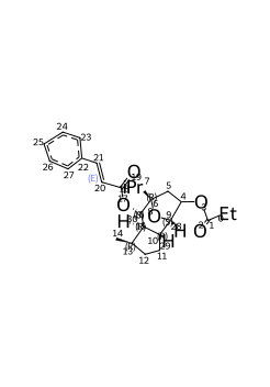 CCC(=O)OC1C[C@]2(C(C)C)O[C@H]1[C@@H]1CC[C@@H](C)[C@H]1[C@@H]2OC(=O)/C=C/c1ccccc1